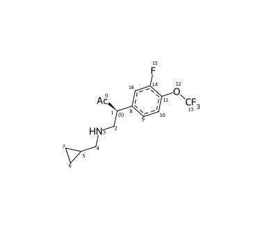 CC(=O)[C@H](CNCC1CC1)c1ccc(OC(F)(F)F)c(F)c1